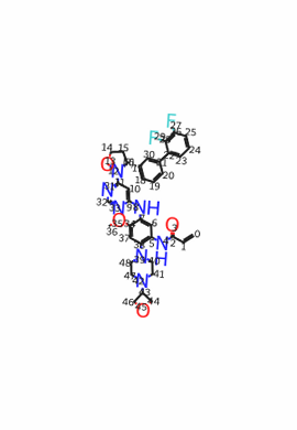 C=CC(=O)Nc1cc(Nc2cc(N3OCC[C@@H]3c3cccc(-c4cccc(F)c4F)c3)ncn2)c(OC)cc1N1CCN(C2COC2)CC1